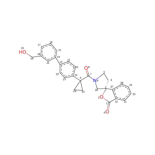 O=C1O[C@]2(CCN(C(=O)C3(c4ccc(-c5cccc(CO)c5)cc4)CC3)C2)c2ccccc21